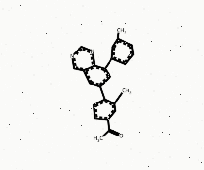 CC(=O)c1ccc(-c2cc(-c3cccc(C)c3)c3ncncc3c2)c(C)c1